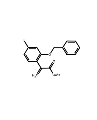 C=C(C(=O)OC)c1ccc(I)cc1OCc1ccccc1